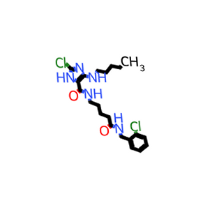 CCCCCNc1nc(Cl)[nH]c1C(=O)NCCCCC(=O)NCc1ccccc1Cl